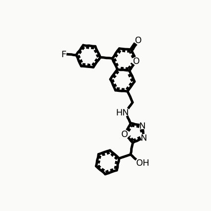 O=c1cc(-c2ccc(F)cc2)c2ccc(CNc3nnc(C(O)c4ccccc4)o3)cc2o1